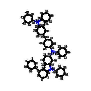 c1ccc(-c2cccc3c2c2ccc(N(c4ccccc4)c4ccc(-c5ccc6c(c5)c5ccccc5n6-c5ccccc5)cc4)cc2n3-c2ccccc2)cc1